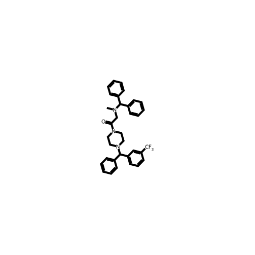 CN(CC(=O)N1CCN(C(c2ccccc2)c2cccc(C(F)(F)F)c2)CC1)C(c1ccccc1)c1ccccc1